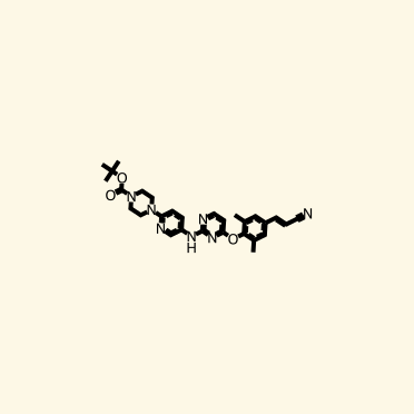 Cc1cc(/C=C/C#N)cc(C)c1Oc1ccnc(Nc2ccc(N3CCN(C(=O)OC(C)(C)C)CC3)nc2)n1